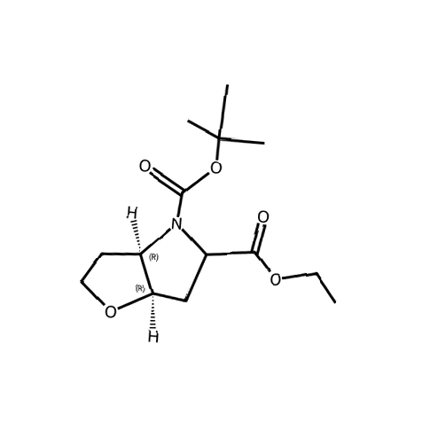 CCOC(=O)C1C[C@H]2OCC[C@H]2N1C(=O)OC(C)(C)C